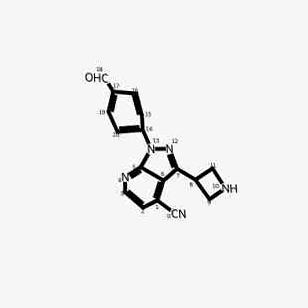 N#Cc1ccnc2c1c(C1CNC1)nn2-c1ccc(C=O)cc1